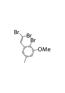 COc1cc(C)cc(C=C(Br)Br)c1Br